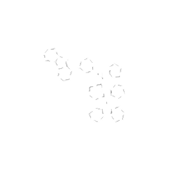 c1ccc(N(c2cccc(-c3cccc4c3sc3ccccc34)c2)c2ccc3c(c2)C2(c4ccccc4-c4ccccc42)c2ccccc2-3)cc1